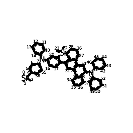 C[Si](C)(C)c1ccc(N(c2ccccc2)c2ccc3c(c2)[Si](C)(C)c2cccc4c2c-3cc2c3ccccc3c(N(c3ccccc3)c3ccccc3)cc42)cc1